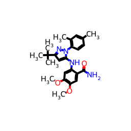 COc1cc(Nc2cc(C(C)(C)C)nn2-c2ccc(C)cc2C)c(C(N)=O)cc1OC